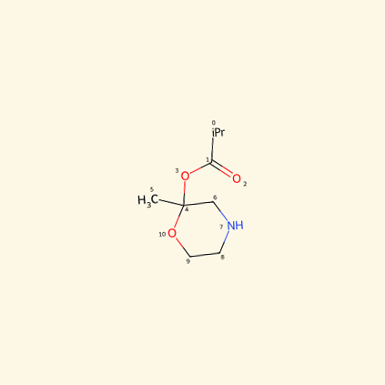 CC(C)C(=O)OC1(C)CNCCO1